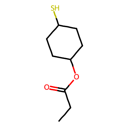 CCC(=O)OC1CCC(S)CC1